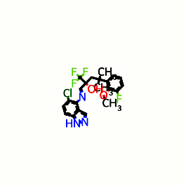 COc1c(F)cccc1C(C)(C)CC(O)(C=Nc1c(Cl)ccc2[nH]ncc12)C(F)(F)F